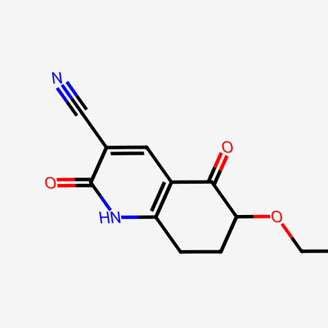 CCOC1CCc2[nH]c(=O)c(C#N)cc2C1=O